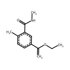 C=C(OCC)c1ccc(C)c(C(=O)NC)c1